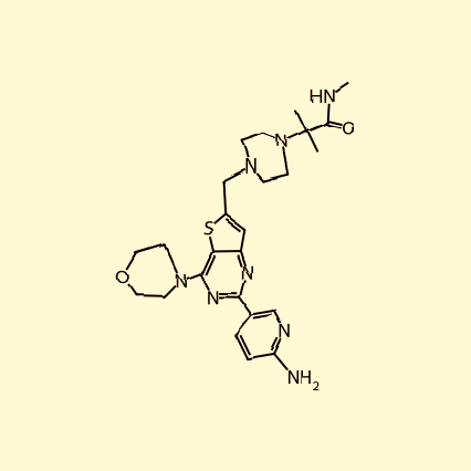 CNC(=O)C(C)(C)N1CCN(Cc2cc3nc(-c4ccc(N)nc4)nc(N4CCOCC4)c3s2)CC1